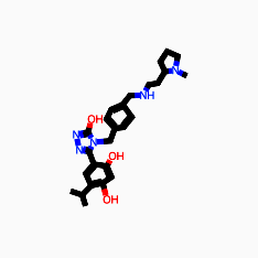 CC(C)c1cc(-c2nnc(O)n2Cc2ccc(CNCCC3CCCN3C)cc2)c(O)cc1O